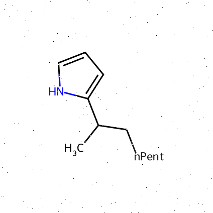 CCCCCCC(C)c1ccc[nH]1